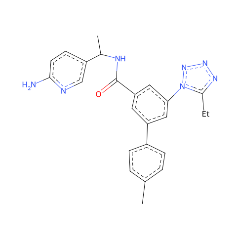 CCc1nnnn1-c1cc(C(=O)NC(C)c2ccc(N)nc2)cc(-c2ccc(C)cc2)c1